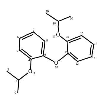 CC(C)Oc1ccccc1Oc1ccccc1OC(C)C